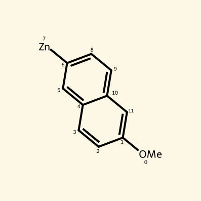 COc1ccc2c[c]([Zn])ccc2c1